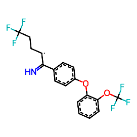 N=C([CH]CCC(F)(F)F)c1ccc(Oc2ccccc2OC(F)(F)F)cc1